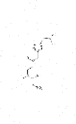 CN(C)Cc1ccc(C[S+]([O-])CCN(C)C(N)=C[N+](=O)[O-])o1